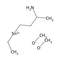 C[CH2][Sn+2][CH2]CC(C)N.C[O-].C[O-]